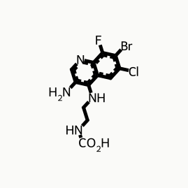 Nc1cnc2c(F)c(Br)c(Cl)cc2c1NCCNC(=O)O